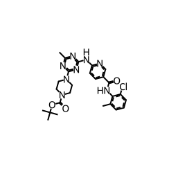 Cc1nc(Nc2ccc(C(=O)Nc3c(C)cccc3Cl)cn2)nc(N2CCN(C(=O)OC(C)(C)C)CC2)n1